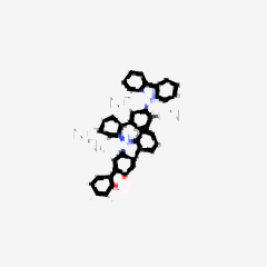 N#Cc1ccc(-c2ccc(C#N)c(-n3c4ccccc4c4ccccc43)c2C#N)c(-n2c3ccccc3c3cc4oc5ccccc5c4cc32)c1C#N